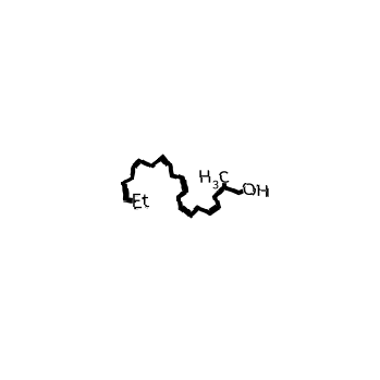 CC/C=C\C/C=C\C/C=C\C/C=C\C/C=C\C/C=C\CC(C)CO